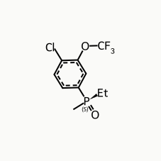 CC[P@](C)(=O)c1ccc(Cl)c(OC(F)(F)F)c1